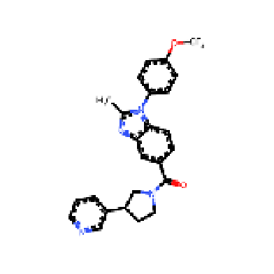 Cc1nc2cc(C(=O)N3CCC(c4cccnc4)C3)ccc2n1-c1ccc(OC(F)(F)F)cc1